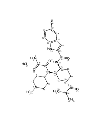 CN1CCC(N(C(=O)C(N)=O)[C@@H]2C[C@@H](C(=O)N(C)C)CC[C@@H]2NC(=O)c2cc3cc(Cl)ccc3[nH]2)CC1.Cl